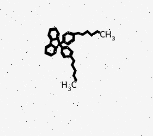 CCCCCCc1ccc(C2(c3ccc(CCCCCC)cc3)c3ccccc3-c3ccccc32)cc1